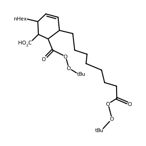 CCCCCCC1C=CC(CCCCCCCC(=O)OOC(C)(C)C)C(C(=O)OOC(C)(C)C)C1C(=O)O